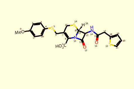 COc1ccc(SCC2=C(C(=O)O)N3C(=O)C(NC(=O)Cc4cccs4)[C@H]3SC2)cc1